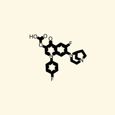 O=C(O)Oc1cn(-c2ccc(F)cc2)c2cc(N3CCN4CCC3C4)c(F)cc2c1=O